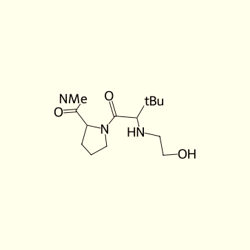 CNC(=O)C1CCCN1C(=O)C(NCCO)C(C)(C)C